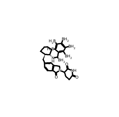 Bc1c(B)c(B)c(C(B)N[C@H]2CCCC[C@@H]2Cc2ccc3c(c2)CN(C2CCC(=O)NC2=O)C3=O)c(B)c1B